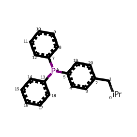 CC(C)Cc1ccc(P(c2ccccc2)c2ccccc2)cc1